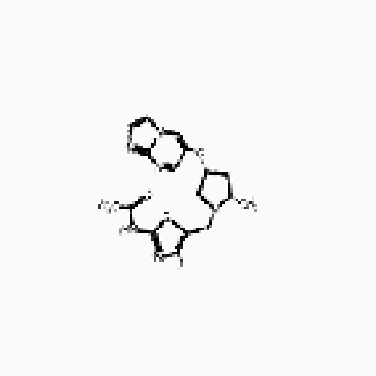 CC(=O)Nc1nc(F)c(CN2C[C@H](Oc3cnc4nccn4c3)C[C@@H]2C)s1